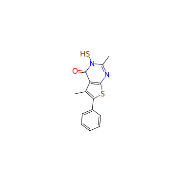 Cc1c(-c2ccccc2)sc2nc(C)n(S)c(=O)c12